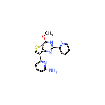 COc1nc(-c2ccccn2)nc2c(-c3cccc(N)n3)csc12